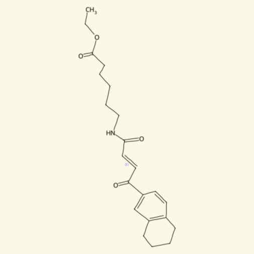 CCOC(=O)CCCCCNC(=O)/C=C/C(=O)c1ccc2c(c1)CCCC2